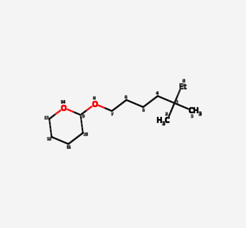 CCC(C)(C)CCCCOC1CCCCO1